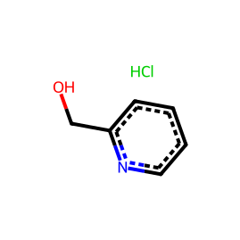 Cl.OCc1ccccn1